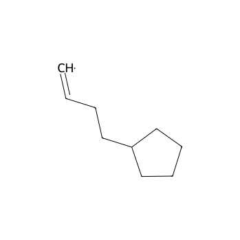 [CH]=CCCC1CCCC1